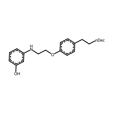 CCCCCCCCCCCCc1ccc(OCCNc2cccc(O)c2)cc1